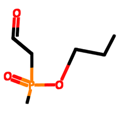 CCCOP(C)(=O)CC=O